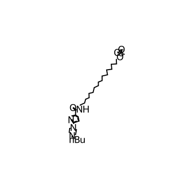 CCCCN1CCN(c2ccc(C(=O)NCCCCCCCCCCCCCCCCCOS(C)(=O)=O)cn2)CC1